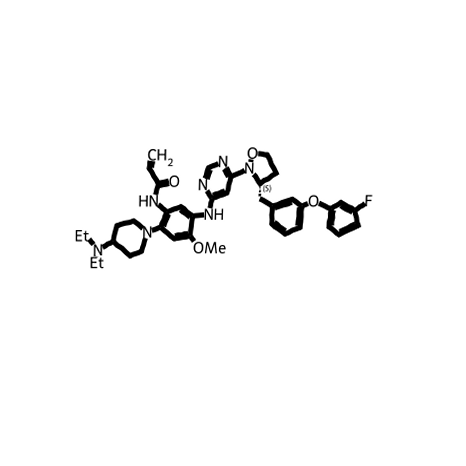 C=CC(=O)Nc1cc(Nc2cc(N3OCC[C@@H]3Cc3cccc(Oc4cccc(F)c4)c3)ncn2)c(OC)cc1N1CCC(N(CC)CC)CC1